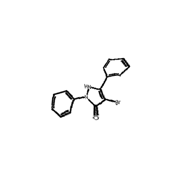 O=c1c(Br)c(-c2ccccc2)[nH]n1-c1ccccc1